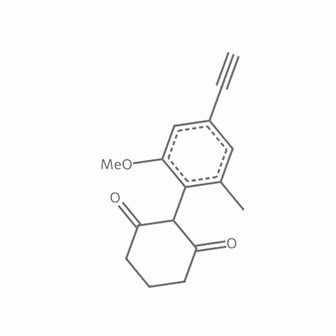 C#Cc1cc(C)c(C2C(=O)CCCC2=O)c(OC)c1